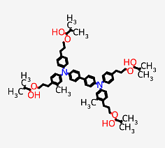 Cc1cc(N(c2ccc(CCCOC(O)C(C)C)cc2)c2ccc(-c3ccc(N(c4ccc(CCCOC(O)C(C)C)cc4)c4ccc(CCCOC(O)C(C)C)c(C)c4)cc3)cc2)ccc1CCCOC(O)C(C)C